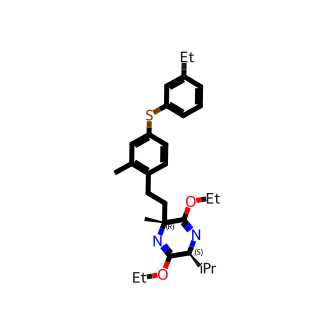 CCOC1=N[C@](C)(CCc2ccc(Sc3cccc(CC)c3)cc2C)C(OCC)=N[C@H]1C(C)C